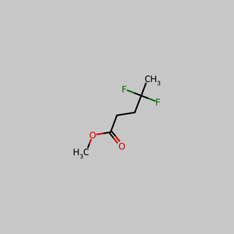 COC(=O)CCC(C)(F)F